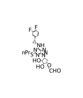 CCCSc1nc(N[C@@H]2C[C@H]2c2ccc(F)c(F)c2)c2nnn([C@@H]3C[C@H](OCC=O)[C@@H](O)[C@H]3O)c2n1